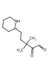 CC(C)(CCN1CCCCN1)C(=O)C=O